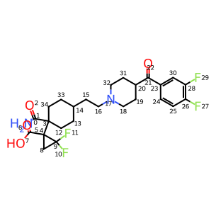 NC(=O)C1(C2(C(=O)O)CC2(F)F)CCC(CCN2CCC(C(=O)c3ccc(F)c(F)c3)CC2)CC1